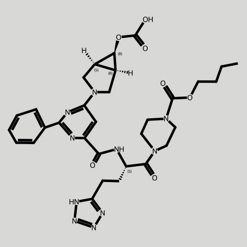 CCCCOC(=O)N1CCN(C(=O)[C@H](CCc2nnn[nH]2)NC(=O)c2cc(N3C[C@@H]4[C@H](C3)[C@@H]4OC(=O)O)nc(-c3ccccc3)n2)CC1